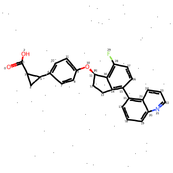 O=C(O)C1CC1c1ccc(O[C@@H]2CCc3c(-c4cccc5ncccc45)ccc(F)c32)cc1